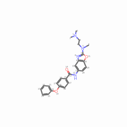 CN(C)CCN(C)c1nc2cc(NC(=O)c3ccc(Oc4ccccc4)cc3)ccc2o1